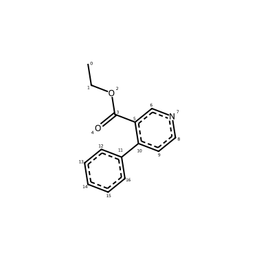 CCOC(=O)c1cnccc1-c1ccccc1